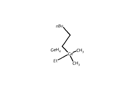 CCCCC[CH2][Ge]([CH3])([CH3])[CH2]C.[GeH4]